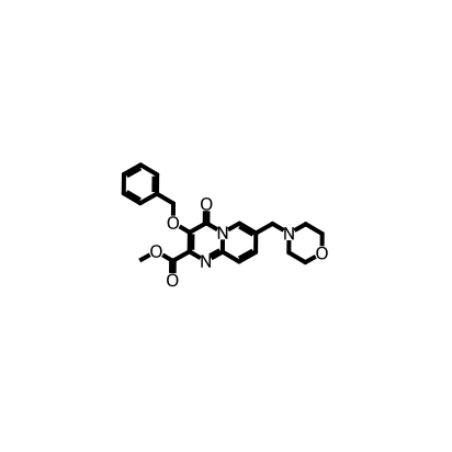 COC(=O)c1nc2ccc(CN3CCOCC3)cn2c(=O)c1OCc1ccccc1